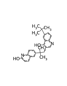 CC(C)(C)c1ccc2ncc(CC(C)(C)c3ccc4nc(O)ccc4c3)c(O)c2c1